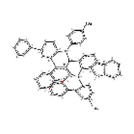 CC(C)(C)c1ccc(N2B3c4ccc5c(oc6ccccc65)c4N(c4ccc(C(C)(C)C)cc4-c4ccccc4)c4cc5ccccc5c(c43)-c3cc(-c4ccccc4)ccc32)cc1